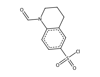 O=CN1CCCc2cc(S(=O)(=O)Cl)ccc21